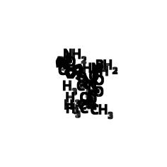 BNPOC(=O)C1=C(COc2cccc3c(C[N+]4(C)CCC[C@@H]4C(N)=O)cccc23)[C@H](C)C2[C@@H]([C@@H](C)O[Si](CC)(CC)CC)C(=O)N12